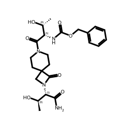 C[C@@H](O)[C@H](NC(=O)OCc1ccccc1)C(=O)N1CCC2(CC1)CN([C@H](C(N)=O)[C@@H](C)O)C2=O